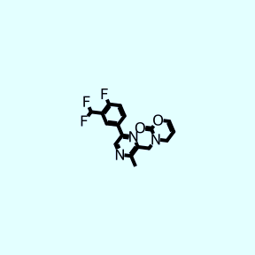 Cc1ncc(-c2ccc(F)c(C(F)F)c2)nc1CN1CC=COC1=O